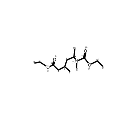 CCOC(=O)CC(C)CC(C)N(C)C(=O)OCC